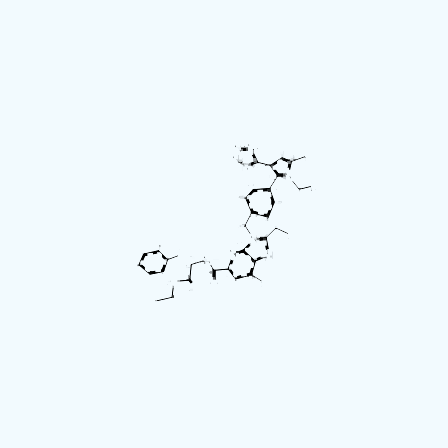 CCOC(=O)[C@H](Cc1ccccc1)NC(=O)c1cc(C)c2nc(CC)n(Cc3ccc(-c4c(-c5nnn[nH]5)cc(C)n4CC)cc3)c2n1